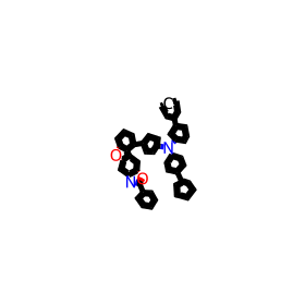 c1ccc(-c2ccc(N(c3ccc(-c4cccc5oc6cc7nc(-c8ccccc8)oc7cc6c45)cc3)c3cccc(-c4ccccc4)c3)cc2)cc1